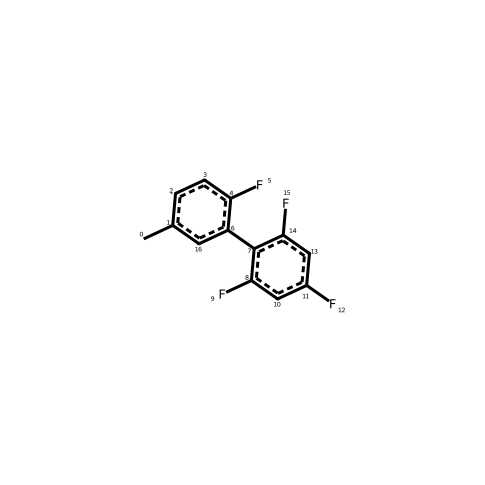 Cc1[c]cc(F)c(-c2c(F)cc(F)cc2F)c1